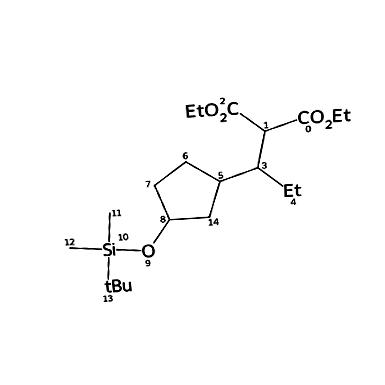 CCOC(=O)C(C(=O)OCC)C(CC)C1CCC(O[Si](C)(C)C(C)(C)C)C1